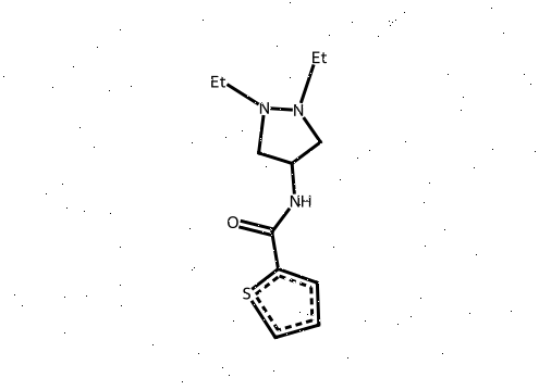 CCN1CC(NC(=O)c2cccs2)CN1CC